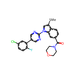 CSc1cn(-c2ncc(-c3cc(Cl)ccc3F)cn2)c2cc(C(=O)N3CCOCC3)ccc12